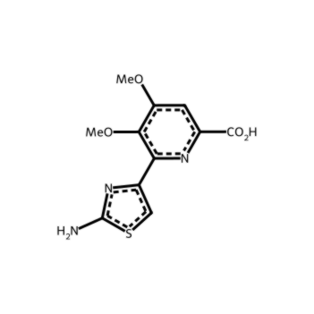 COc1cc(C(=O)O)nc(-c2csc(N)n2)c1OC